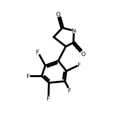 O=C1CC(c2c(F)c(F)c(F)c(F)c2F)C(=O)[N]1